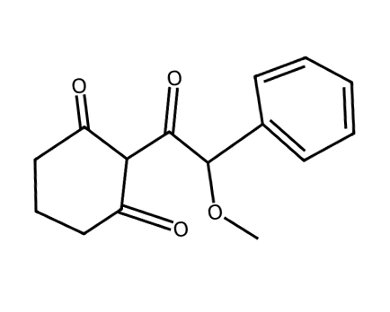 COC(C(=O)C1C(=O)CCCC1=O)c1ccccc1